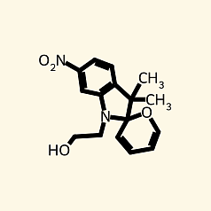 CC1(C)c2ccc([N+](=O)[O-])cc2N(CCO)C12C=CC=CO2